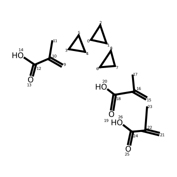 C1CC1.C1CC1.C1CC1.C=C(C)C(=O)O.C=C(C)C(=O)O.C=C(C)C(=O)O